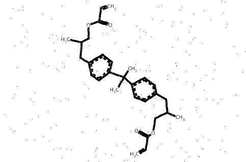 C=CC(=O)OCC(C)Cc1ccc(C(C)(C)c2ccc(CC(C)COC(=O)C=C)cc2)cc1